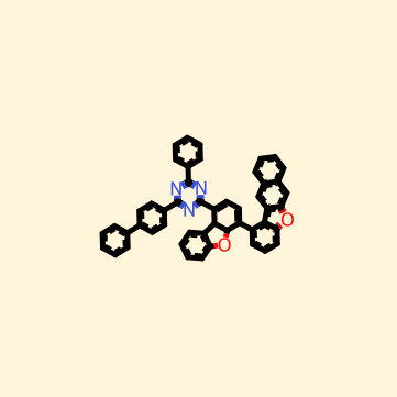 C1=C(c2cccc3oc4cc5ccccc5cc4c23)C2Oc3ccccc3C2C(c2nc(-c3ccccc3)nc(-c3ccc(-c4ccccc4)cc3)n2)=C1